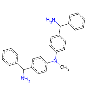 CN(c1ccc(C(N)c2ccccc2)cc1)c1ccc(C(N)c2ccccc2)cc1